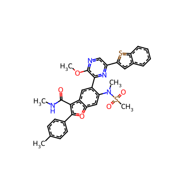 CNC(=O)c1c(-c2ccc(C)cc2)oc2cc(N(C)S(C)(=O)=O)c(-c3nc(-c4cc5ccccc5s4)cnc3OC)cc12